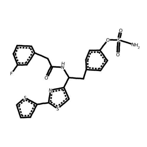 NS(=O)(=O)Oc1ccc(CC(NC(=O)Cc2cccc(F)c2)c2csc(-c3cccs3)n2)cc1